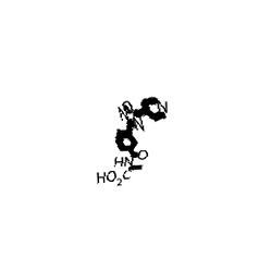 CC(NC(=O)c1cccc(-c2noc(-c3ccncc3)n2)c1)C(=O)O